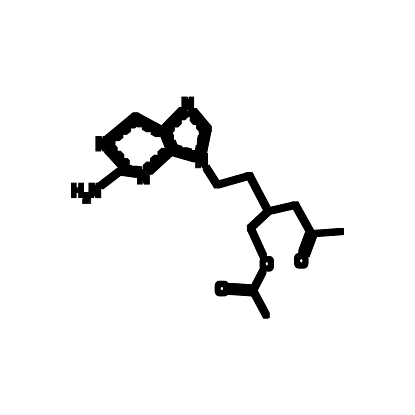 CC(=O)CC(CCn1cnc2cnc(N)nc21)COC(C)=O